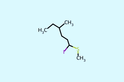 CCC(C)CCC(I)SC